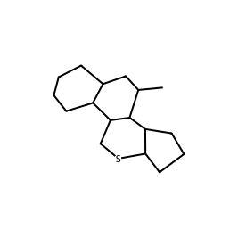 CC1CC2CCCCC2C2CSC3CCCC3C12